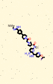 CCN(C(=O)[C@@H]1CCN(CC(=O)N2CC=C(c3ccc(C(=N)/N=C\NC)cc3)CC2)C1)c1ccc(N)c(C(=N)c2ccc(OC(C)I)nc2)n1